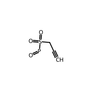 C#CCS(=O)(=O)P=O